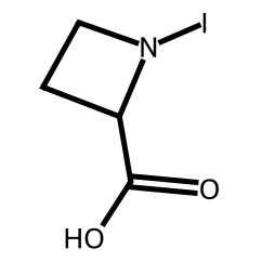 O=C(O)C1CCN1I